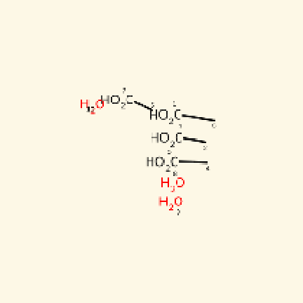 CC(=O)O.CC(=O)O.CC(=O)O.CC(=O)O.O.O.O